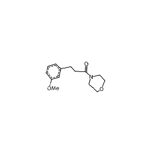 COc1cccc(CCC(=O)N2CCOCC2)c1